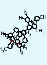 Cc1ccc2c(c1)c1cc(C)ccc1n2-c1cc(C#N)c(F)c(-c2cccc(-c3cc(-c4cccc(-c5cc(C#N)c(C#N)cc5-n5c6ccc(C)cc6c6cc(C)ccc65)c4)cc(-c4cccc(-c5cc(C#N)cc(C#N)c5-n5c6ccc(C)cc6c6cc(C)ccc65)c4)c3)c2)c1